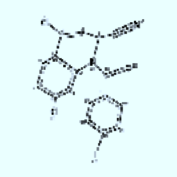 N#CC1C=C(Cl)c2ccc(Cl)cc2N1C(=O)c1ccc(F)cc1